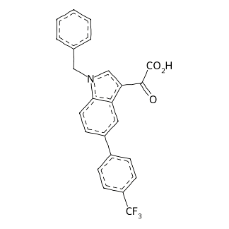 O=C(O)C(=O)c1cn(Cc2ccccc2)c2ccc(-c3ccc(C(F)(F)F)cc3)cc12